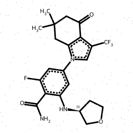 CC1(C)CC(=O)c2c(C(F)(F)F)cn(-c3cc(F)c(C(N)=O)c(N[C@H]4CCOC4)c3)c2C1